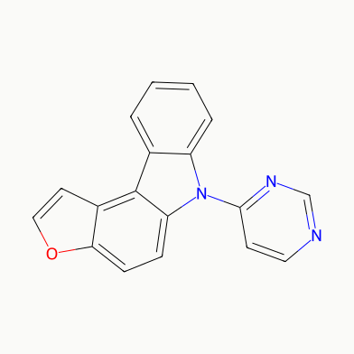 c1ccc2c(c1)c1c3ccoc3ccc1n2-c1ccncn1